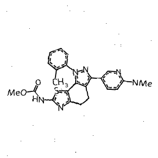 CNc1ccc(-c2nn(-c3ccccc3C)c3c2CCc2nc(NC(=O)OC)sc2-3)cn1